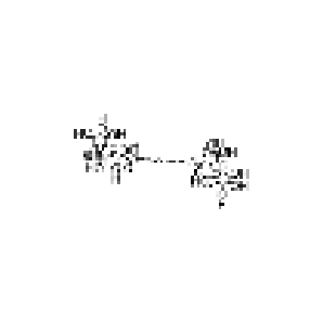 O=C(NCCCCCCCCCNC(=O)[C@H](O)[C@@H](O)[C@H](O[C@@H]1O[C@H](CO)[C@H](O)[C@H](O)[C@H]1O)[C@H](O)CO)[C@H](O)[C@@H](O)[C@H](O[C@@H]1O[C@H](CO)[C@H](O)[C@H](O)[C@H]1O)[C@H](O)CO